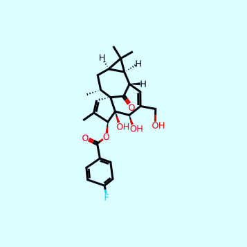 CC1=C[C@]23C(=O)[C@@H](C=C(CO)[C@@H](O)[C@]2(O)[C@H]1OC(=O)c1ccc(F)cc1)[C@H]1[C@@H](C[C@H]3C)C1(C)C